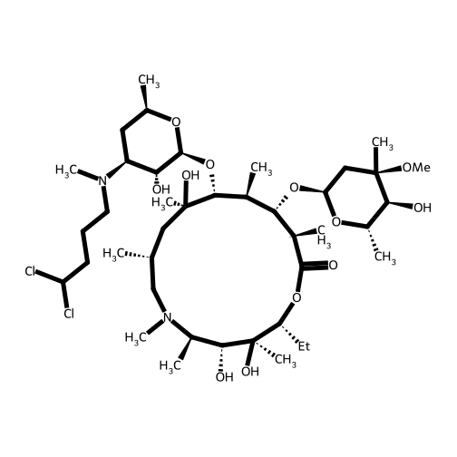 CC[C@H]1OC(=O)[C@H](C)[C@@H](O[C@H]2C[C@@](C)(OC)[C@@H](O)[C@H](C)O2)[C@H](C)[C@@H](O[C@@H]2O[C@H](C)C[C@H](N(C)CCCC(Cl)Cl)[C@H]2O)[C@](C)(O)C[C@@H](C)CN(C)[C@H](C)[C@@H](O)[C@]1(C)O